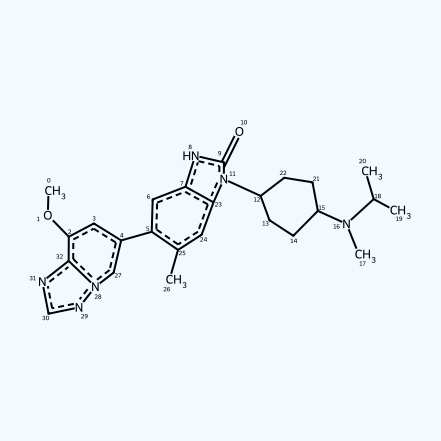 COc1cc(-c2cc3[nH]c(=O)n(C4CCC(N(C)C(C)C)CC4)c3cc2C)cn2ncnc12